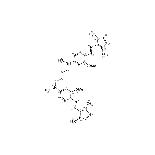 COc1cc(N(C)CCCCN(C)c2ccc(N=Nc3n(C)nc[n+]3C)c(OC)c2)ccc1N=Nc1n(C)nc[n+]1C